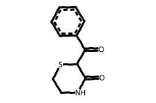 O=C1NCCSC1C(=O)c1ccccc1